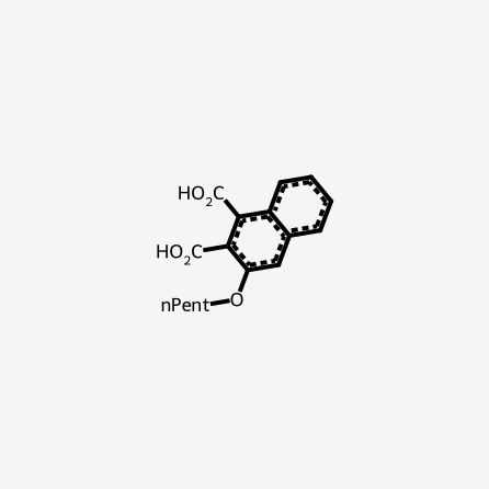 CCCCCOc1cc2ccccc2c(C(=O)O)c1C(=O)O